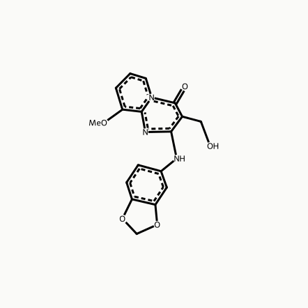 COc1cccn2c(=O)c(CO)c(Nc3ccc4c(c3)OCO4)nc12